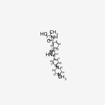 C[C@H](CO)NC(=O)c1cccc(-c2cc(-c3ccc(N4CCN(C)CC4)cc3)[nH]n2)c1